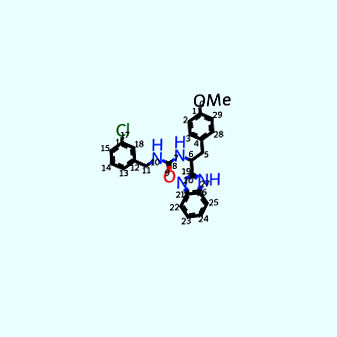 COc1ccc(CC(NC(=O)NCc2cccc(Cl)c2)c2nc3ccccc3[nH]2)cc1